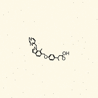 Cc1c(COc2ccc(C(C)CC(=O)O)cc2)ccc2ccn(Cc3ccncn3)c12